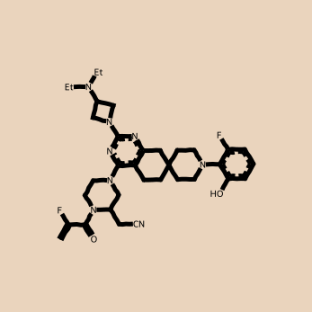 C=C(F)C(=O)N1CCN(c2nc(N3CC(N(CC)CC)C3)nc3c2CCC2(CCN(c4c(O)cccc4F)CC2)C3)CC1CC#N